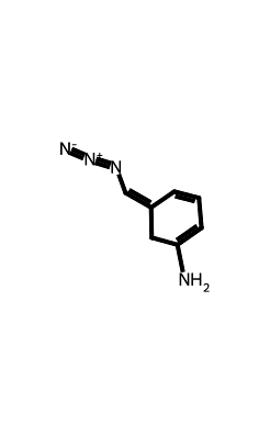 [N-]=[N+]=NC=C1C=CC=C(N)C1